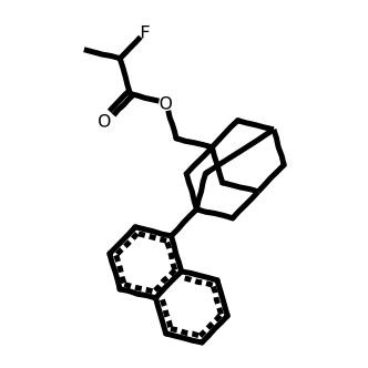 CC(F)C(=O)OCC12CC3CC(C1)CC(c1cccc4ccccc14)(C3)C2